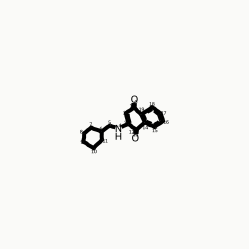 O=C1C=C(NCC2CCCCC2)C(=O)c2ccccc21